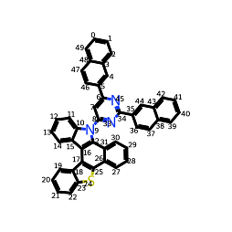 c1ccc2cc(-c3cc(-n4c5ccccc5c5c6c7ccccc7sc6c6ccccc6c54)nc(-c4ccc5ccccc5c4)n3)ccc2c1